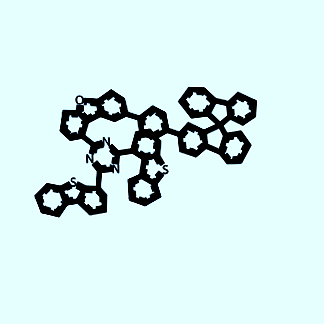 c1ccc2c(c1)-c1ccccc1C21c2ccccc2-c2ccc(-c3ccc(-c4ccc5oc6cccc(-c7nc(-c8cccc9c8sc8ccccc89)nc(-c8cccc9sc%10ccccc%10c89)n7)c6c5c4)cc3)cc21